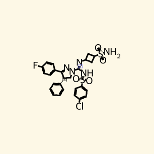 NS(=O)(=O)C1CC(/N=C(\NS(=O)(=O)c2ccc(Cl)cc2)N2C[C@H](c3ccccc3)C(c3ccc(F)cc3)=N2)C1